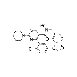 CC(C)N(Cc1ccc2c(c1)OCO2)C(=O)c1cnc(N2CCCCC2)nc1-c1ccccc1Cl